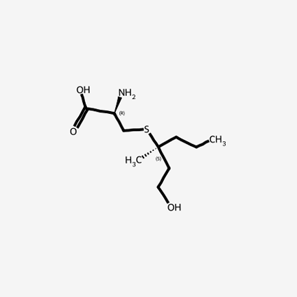 CCC[C@@](C)(CCO)SC[C@H](N)C(=O)O